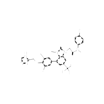 Cc1cc(-c2cc(C(F)(F)F)cc3c2n(C)c(=O)n3CC(=O)N(C)c2ccc(F)cc2)cc(F)c1OCc1nnc[nH]1